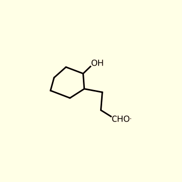 O=[C]CCC1CCCCC1O